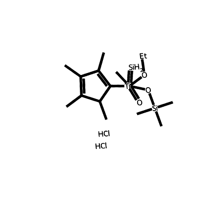 CC[O][Ti]([CH3])(=[O])(=[SiH2])([O][Si](C)(C)C)[C]1=C(C)C(C)=C(C)C1C.Cl.Cl